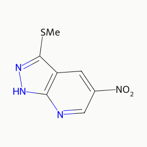 CSc1n[nH]c2ncc([N+](=O)[O-])cc12